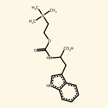 C[Si](C)(C)CCOC(=O)NC(Cc1c[nH]c2ccccc12)C(=O)O